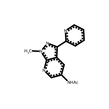 CC(=O)Nc1cnc2c(c1)c(-c1ccccn1)nn2C